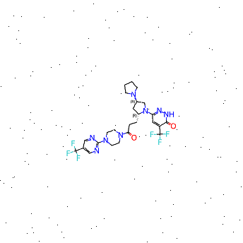 O=C(CC[C@@H]1C[C@@H](N2CCCC2)CN1c1cc(C(F)(F)F)c(=O)[nH]n1)N1CCN(c2ncc(C(F)(F)F)cn2)CC1